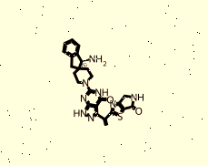 C=C(c1nc2c(s1)C(=O)NC2)c1n[nH]c2nc(N3CCC4(CC3)Cc3ccccc3[C@H]4N)[nH]c(=O)c12